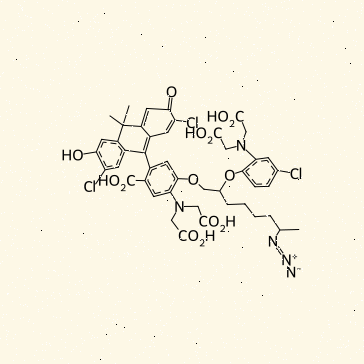 CC(CCCCC(COc1cc(C2=C3C=C(Cl)C(=O)C=C3C(C)(C)c3cc(O)c(Cl)cc32)c(C(=O)O)cc1N(CC(=O)O)CC(=O)O)Oc1ccc(Cl)cc1N(CC(=O)O)CC(=O)O)N=[N+]=[N-]